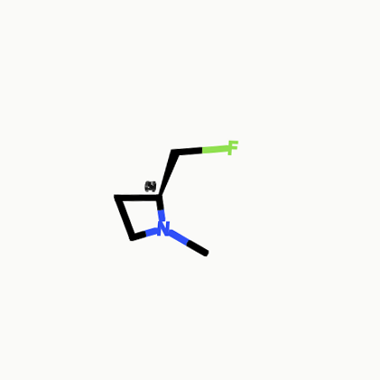 CN1CC[C@H]1CF